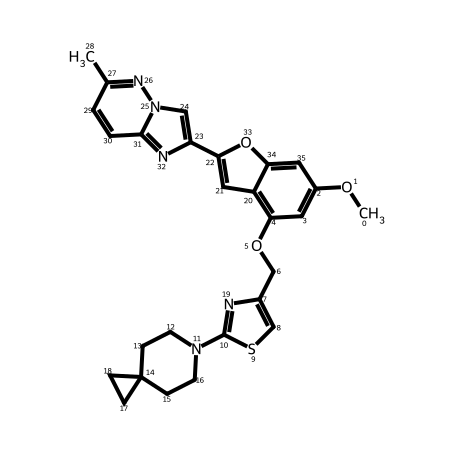 COc1cc(OCc2csc(N3CCC4(CC3)CC4)n2)c2cc(-c3cn4nc(C)ccc4n3)oc2c1